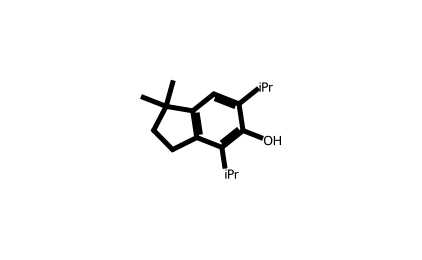 CC(C)c1cc2c(c(C(C)C)c1O)CCC2(C)C